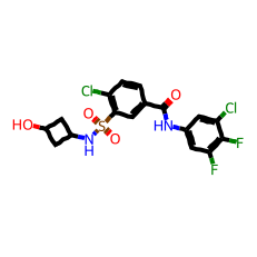 O=C(Nc1cc(F)c(F)c(Cl)c1)c1ccc(Cl)c(S(=O)(=O)NC2CC(O)C2)c1